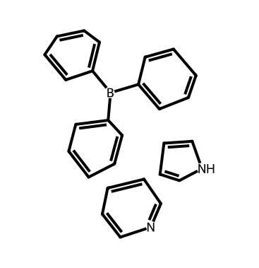 c1cc[nH]c1.c1ccc(B(c2ccccc2)c2ccccc2)cc1.c1ccncc1